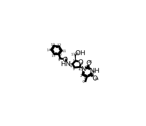 Cc1cn([C@H]2C[C@H](NOCc3ccccc3)[C@@H](CO)O2)c(=O)[nH]c1=O